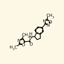 Cc1nc(-c2ccc3c(c2)CCC3NC(=O)c2oc(C)nc2C)no1